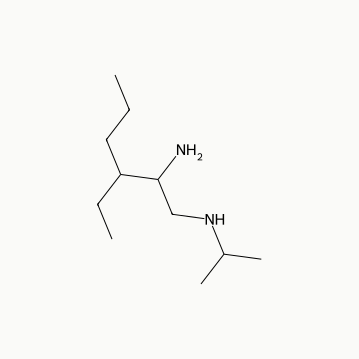 CCCC(CC)C(N)CNC(C)C